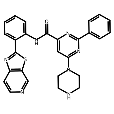 O=C(Nc1ccccc1-c1nc2ccncc2s1)c1cc(N2CCNCC2)nc(-c2ccccc2)n1